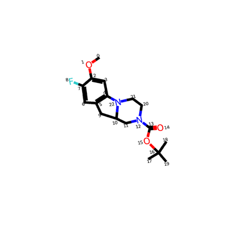 COc1cc2c(cc1F)CC1CN(C(=O)OC(C)(C)C)CCN21